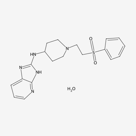 O.O=S(=O)(CCN1CCC(Nc2nc3cccnc3[nH]2)CC1)c1ccccc1